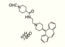 O.O.O.O=CN1CCC(C(=O)NCCN2CCC(=C3c4ccccc4C=Cc4ccccc43)CC2)CC1